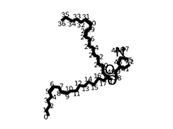 CCCCC/C=C\C/C=C\CCCCCCCCC1(CCCCCCCC/C=C\C/C=C\CCCCC)OCC(C(CC)CC(C)N(C)C)O1